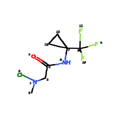 CN(Cl)CC(=O)NC1(C(F)(F)F)CC1